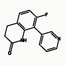 O=C1CCc2ccc(F)c(-c3cccnc3)c2N1